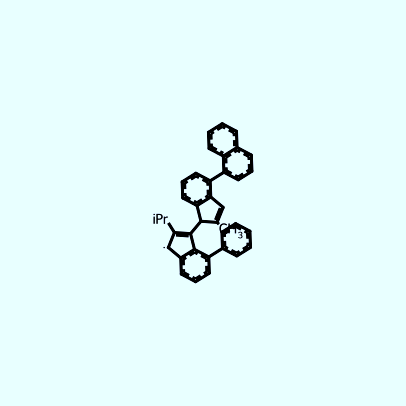 CC1=Cc2c(-c3cccc4ccccc34)cccc2C1C1=C(C(C)C)[CH]c2cccc(-c3ccccc3)c21